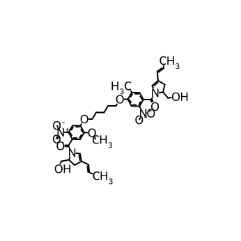 C/C=C/C1=CN(C(=O)c2cc(C)c(OCCCCCOc3cc([N+](=O)[O-])c(C(=O)N4C=C(/C=C/C)CC4CO)cc3OC)cc2[N+](=O)[O-])C(CO)C1